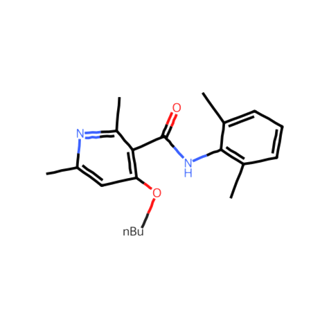 CCCCOc1cc(C)nc(C)c1C(=O)Nc1c(C)cccc1C